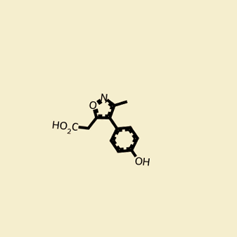 Cc1noc(CC(=O)O)c1-c1ccc(O)cc1